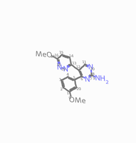 COc1cccc(-c2nc(N)ncc2-c2ccc(OC)nn2)c1